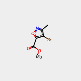 Cc1noc(C(=O)OC(C)(C)C)c1Br